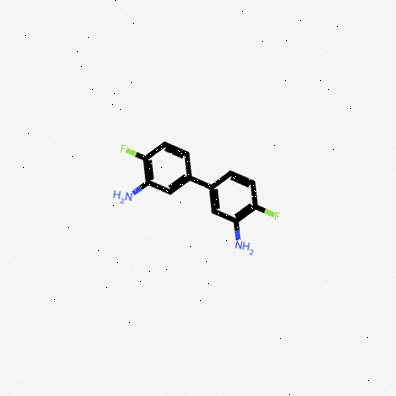 Nc1cc(-c2ccc(F)c(N)c2)ccc1F